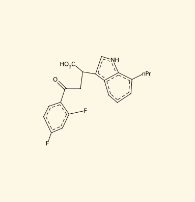 CCCc1cccc2c(C(CC(=O)c3ccc(F)cc3F)C(=O)O)c[nH]c12